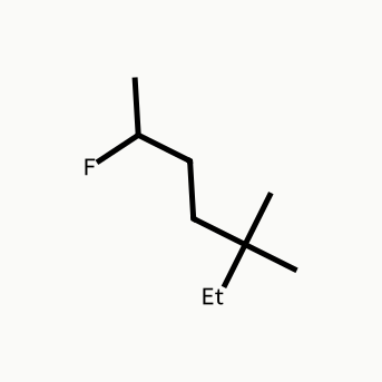 CCC(C)(C)CCC(C)F